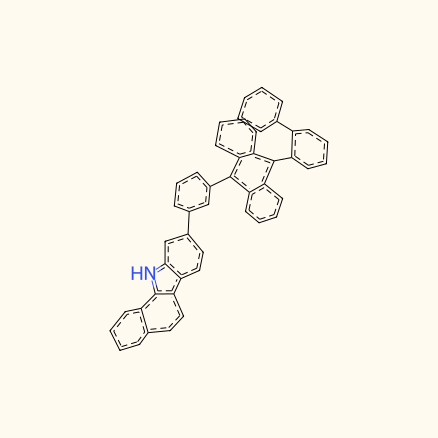 c1ccc(-c2ccccc2-c2c3ccccc3c(-c3cccc(-c4ccc5c(c4)[nH]c4c6ccccc6ccc54)c3)c3ccccc23)cc1